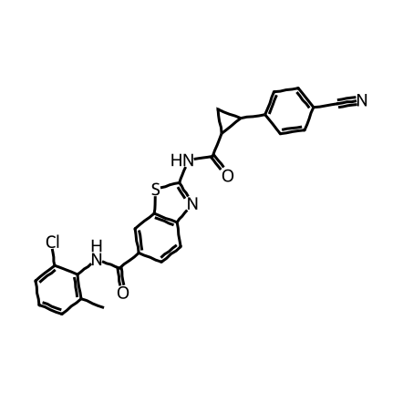 Cc1cccc(Cl)c1NC(=O)c1ccc2nc(NC(=O)C3CC3c3ccc(C#N)cc3)sc2c1